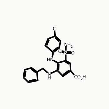 NS(=O)(=O)c1cc(C(=O)O)cc(NCc2ccccc2)c1Nc1ccc(Cl)cc1